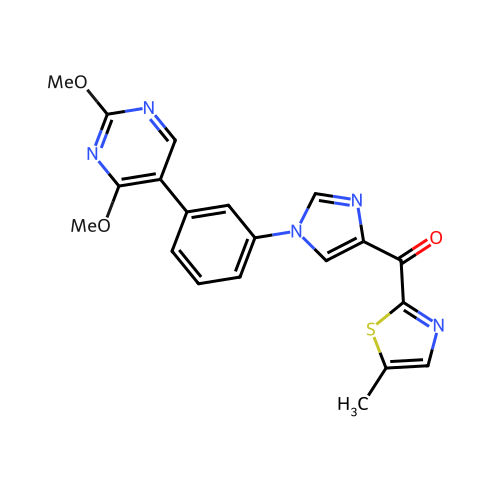 COc1ncc(-c2cccc(-n3cnc(C(=O)c4ncc(C)s4)c3)c2)c(OC)n1